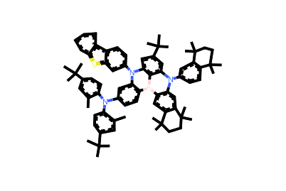 Cc1cc(C(C)(C)C)ccc1N(c1ccc2c(c1)N(c1ccc3c(c1)sc1ccccc13)c1cc(C(C)(C)C)cc3c1B2c1cc2c(cc1N3c1ccc3c(c1)C(C)(C)CCC3(C)C)C(C)(C)CCC2(C)C)c1ccc(C(C)(C)C)cc1C